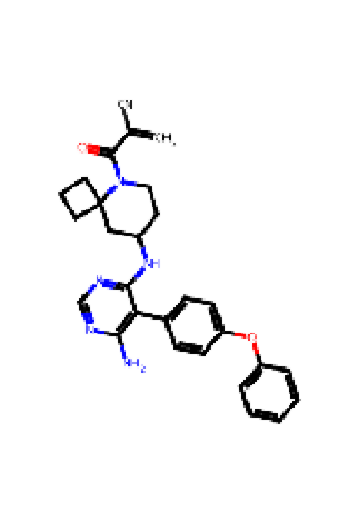 C=C(C#N)C(=O)N1CCC(Nc2ncnc(N)c2-c2ccc(Oc3ccccc3)cc2)CC12CCC2